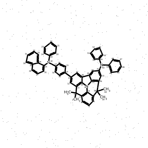 CC1(C)c2cccc3c2-n2c4c1cc(-c1ccc(N(c5ccccc5)c5cccc6ccccc56)cc1)cc4c1cc(N(c4ccccc4)c4ccccc4)cc(c12)C3(C)C